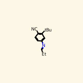 CC/C=N/c1ccc(C#N)c(C(C)(C)C)c1